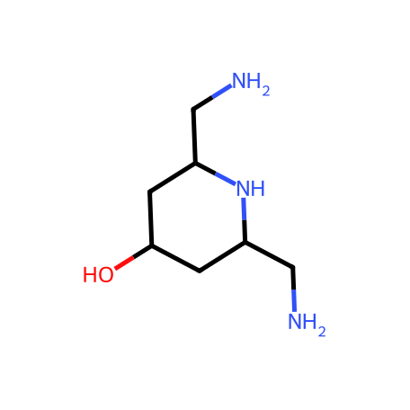 NCC1CC(O)CC(CN)N1